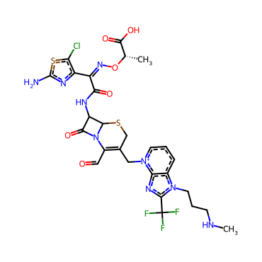 CNCCCn1c(C(F)(F)F)nc2c1ccc[n+]2CC1=C(C=O)N2C(=O)C(NC(=O)/C(=N\O[C@@H](C)C(=O)O)c3nc(N)sc3Cl)C2SC1